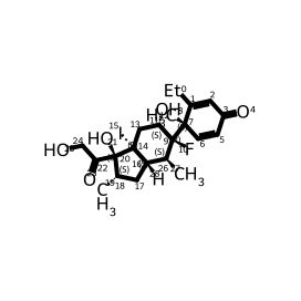 CCC1=CC(=O)C=C[C@]1(C)[C@@]1(F)[C@@H](O)C[C@@]2(I)[C@@H](C[C@H](C)[C@]2(O)C(=O)CO)[C@@H]1C